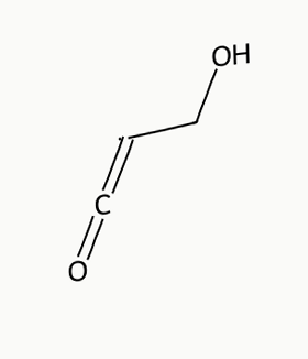 O=C=[C]CO